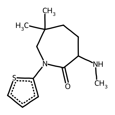 CNC1CCC(C)(C)CN(c2cccs2)C1=O